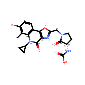 Cc1c(Br)ccc2c3oc(CN4CC[C@H](NC(=O)O)C4=O)nc3c(=O)n(C3CC3)c12